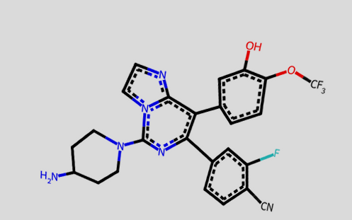 N#Cc1ccc(-c2nc(N3CCC(N)CC3)n3ccnc3c2-c2ccc(OC(F)(F)F)c(O)c2)cc1F